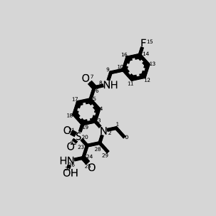 CCN1c2cc(C(=O)NCc3cccc(F)c3)ccc2S(=O)(=O)C(C(=O)NO)C1C